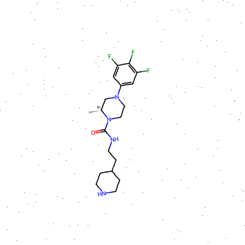 C[C@@H]1CN(c2cc(F)c(F)c(F)c2)CCN1C(=O)NCCC1CCNCC1